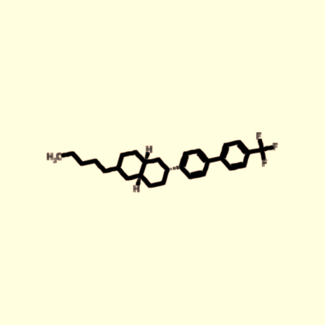 CCCCCC1CC[C@@H]2C[C@H](c3ccc(-c4ccc(C(F)(F)F)cc4)cc3)CC[C@@H]2C1